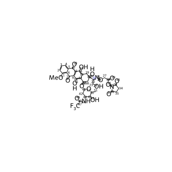 COc1cccc2c1C(=O)c1c(O)c3c(c(O)c1C2=O)C[C@@](O)(/C(CO)=N/OCC(=O)ON1C(=O)CCC1=O)C[C@@H]3OC1CC(NC(=O)C(F)(F)F)C(O)C(C)O1